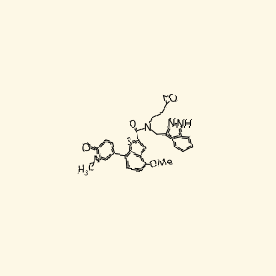 COc1ccc(-c2ccc(=O)n(C)c2)c2sc(C(=O)N(CCC3CO3)Cc3n[nH]c4ccccc34)cc12